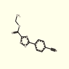 CCOC(=O)c1noc(-c2ccc(C#N)cc2)n1